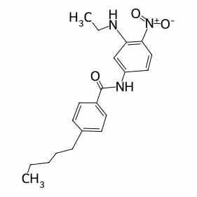 CCCCCc1ccc(C(=O)Nc2ccc([N+](=O)[O-])c(NCC)c2)cc1